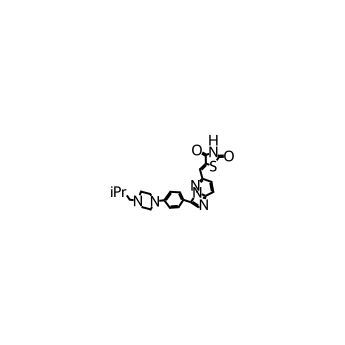 CC(C)CN1CCN(c2ccc(-c3cnc4ccc(/C=C5\SC(=O)NC5=O)nn34)cc2)CC1